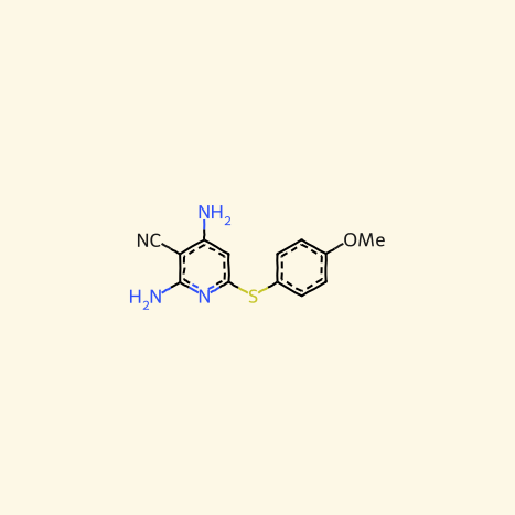 COc1ccc(Sc2cc(N)c(C#N)c(N)n2)cc1